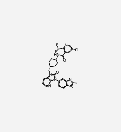 Cc1nc2cc(-n3c(=O)n(C[C@H]4CC[C@H](NC(=O)c5cc(Cl)cnc5C(F)F)CC4)c4cccnc43)ccc2s1